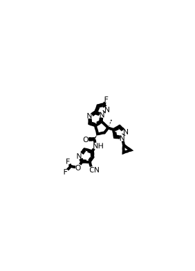 C[C@]1(c2cnn(C3CC3)c2)C[C@H](C(=O)Nc2cnc(OC(F)F)c(C#N)c2)c2cnc3cc(F)nn3c21